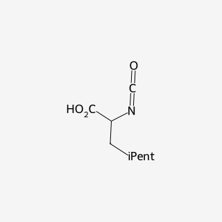 CCCC(C)CC(N=C=O)C(=O)O